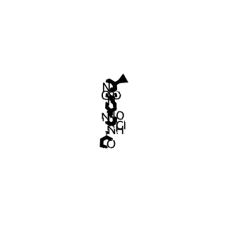 O=c1c(Cl)c(NC[C@H]2CCCOC2)cnn1C1CCN(S(=O)(=O)c2cc(C3CC3)ccn2)CC1